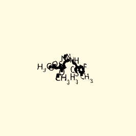 CCOc1cc(-c2cc(NCCc3c(C)sc4c(C)cc(F)cc34)ncn2)sc1CC(=O)OC